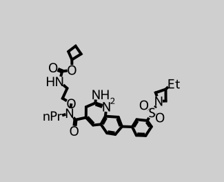 CCCN(OCCNC(=O)OC1CCC1)C(=O)C1=Cc2ccc(-c3cccc(S(=O)(=O)N4CC(CC)C4)c3)cc2N=C(N)C1